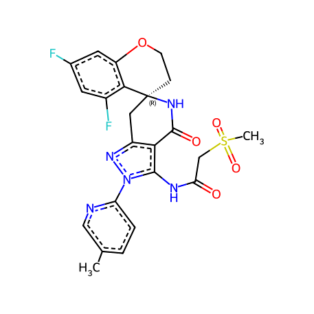 Cc1ccc(-n2nc3c(c2NC(=O)CS(C)(=O)=O)C(=O)N[C@@]2(CCOc4cc(F)cc(F)c42)C3)nc1